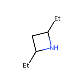 CCC1CC(CC)N1